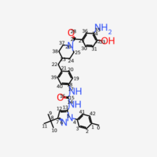 Cc1ccc(-n2nc(C(C)(C)C)cc2NC(=O)Nc2ccc(CC3CCN(C(=O)c4ccc(O)c(N)c4)CC3)cc2)cc1